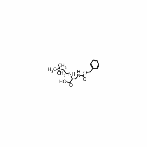 C[Si](C)(C)CCN[C@@H](CNC(=O)OCc1ccccc1)C(=O)O